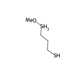 CO[SiH2]CCCS